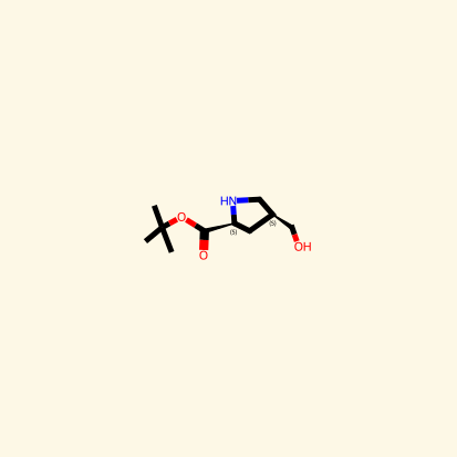 CC(C)(C)OC(=O)[C@@H]1C[C@H](CO)CN1